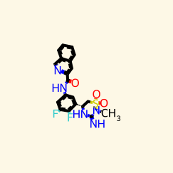 CN1C(=N)N[C@H](c2cc(NC(=O)c3cc4ccccc4cn3)cc(F)c2F)CS1(=O)=O